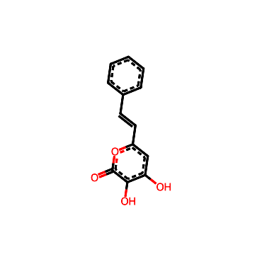 O=c1oc(/C=C/c2ccccc2)cc(O)c1O